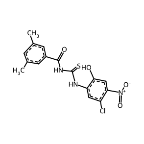 Cc1cc(C)cc(C(=O)NC(=S)Nc2cc(Cl)c([N+](=O)[O-])cc2O)c1